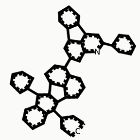 c1ccc(-c2cc3c4c(cc(-c5ccc6c7c(cccc57)-c5c-6c(-c6ccccc6)c6ccccc6c5-c5ccccc5)cc4n2)-c2ccccc2-3)cc1